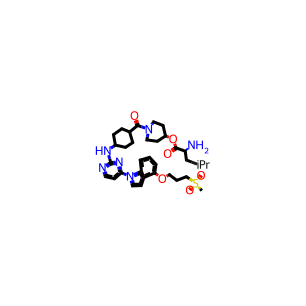 CC(C)C[C@H](N)C(=O)OC1CCN(C(=O)C2CCC(Nc3nccc(-n4ccc5c(OCCCS(C)(=O)=O)cccc54)n3)CC2)CC1